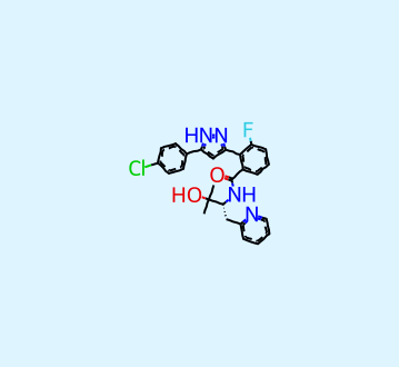 CC(C)(O)[C@@H](Cc1ccccn1)NC(=O)c1cccc(F)c1-c1cc(-c2ccc(Cl)cc2)[nH]n1